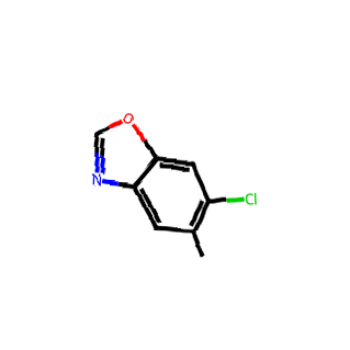 Cc1cc2ncoc2cc1Cl